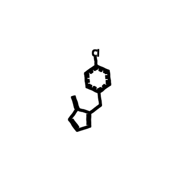 C=C1C=CC=C1Cc1ccc(Cl)cc1